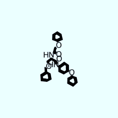 O=C(COc1ccccc1)NC(COCc1ccccc1)C(=O)Nc1ccc(Oc2ccccc2)cc1